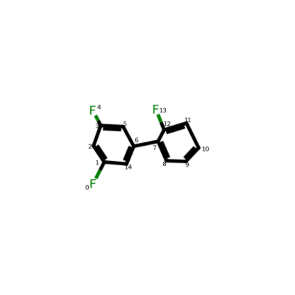 Fc1cc(F)cc(-c2ccccc2F)c1